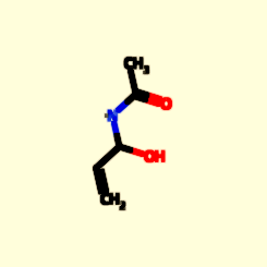 C=CC(O)[N]C(C)=O